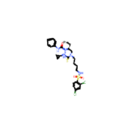 CC(C)C[C@H](CN(CCCCNS(=O)(=O)c1ccc(Cl)cc1Cl)C(=S)NC1CC1)NC(=O)Nc1ccccc1